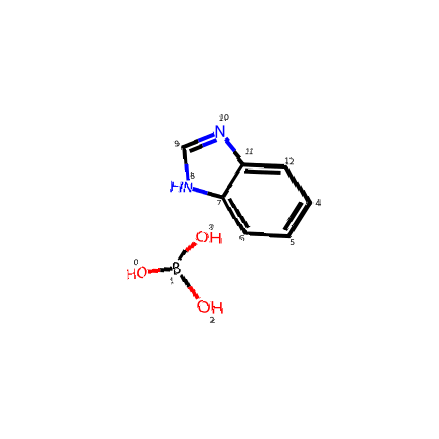 OB(O)O.c1ccc2[nH]cnc2c1